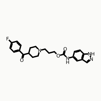 O=C(Nc1ccc2[nH]ncc2c1)OCCCN1CCC(C(=O)c2ccc(F)cc2)CC1